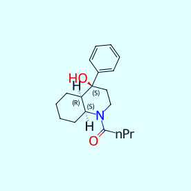 CCCC(=O)N1CC[C@@](O)(c2ccccc2)[C@@H]2CCCC[C@@H]21